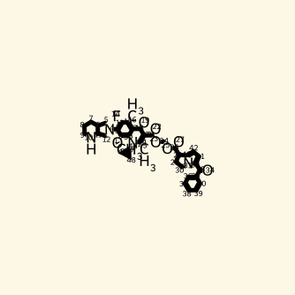 COc1c(N2CC3CCCNC3C2)c(F)c(C)c2c(=O)c(C(=O)OCOC(=O)C3CCn4c(C(=O)c5ccccc5)ccc43)c(C)n(C3CC3)c12